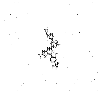 COCn1cc([C@@H]2CN(c3nc(-c4ccc(C(F)(F)F)cc4F)c4sc(N(C)C)nc4n3)C[C@@H](C)O2)cn1